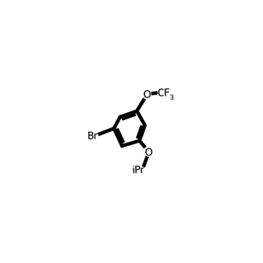 CC(C)Oc1cc(Br)cc(OC(F)(F)F)c1